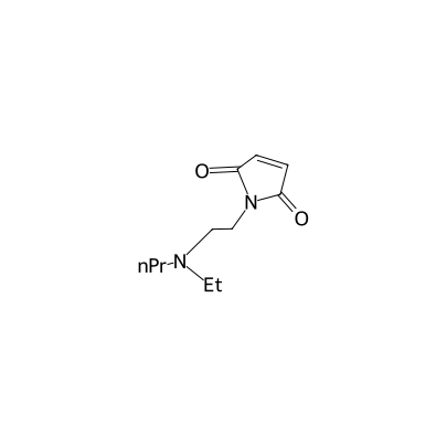 CCCN(CC)CCN1C(=O)C=CC1=O